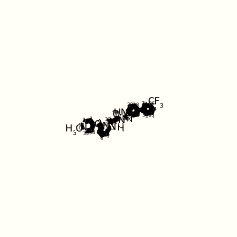 CN1CCC(Oc2cccc3nc(C(=O)Nc4nc5cc(-c6cccc(C(F)(F)F)c6)ccc5[nH]4)cn23)CC1